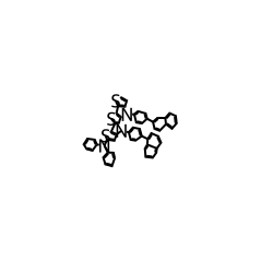 c1ccc(N(c2ccccc2)c2cc3c(s2)c2sc4c5sccc5n(-c5ccc(-c6ccc7ccccc7c6)cc5)c4c2n3-c2ccc(-c3cccc4ccccc34)cc2)cc1